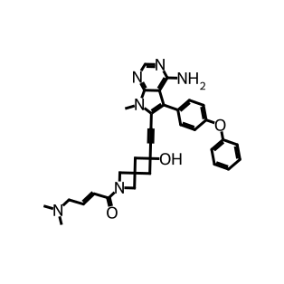 CN(C)C/C=C/C(=O)N1CC2(C1)CC(O)(C#Cc1c(-c3ccc(Oc4ccccc4)cc3)c3c(N)ncnc3n1C)C2